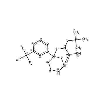 CC(C)(C)CN(CC1(c2cccc(C(F)(F)F)c2)CCNCC1)C(=O)O